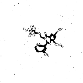 Cc1ccnc(-c2nc3c(C)cc(Br)cc3c(=O)n2COCC[Si](C)(C)C)c1